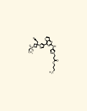 CCCCOC(=O)CCn1cc(Nc2nc(-c3cnn(C4(CC#N)CN(S(=O)(=O)CC)C4)c3)c3sccc3n2)cn1